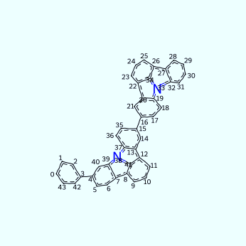 c1ccc(-c2ccc3c4cccc5c6cc(-c7ccc8c(c7)c7cccc9c%10ccccc%10n8c97)ccc6n(c3c2)c54)cc1